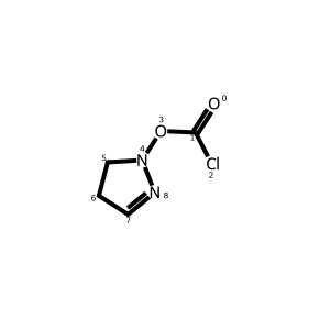 O=C(Cl)ON1CCC=N1